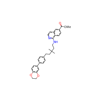 COC(=O)c1ccc2c(NCCC(C)(C)CCc3ccc(-c4ccc5c(c4)OCCO5)cc3)nccc2c1